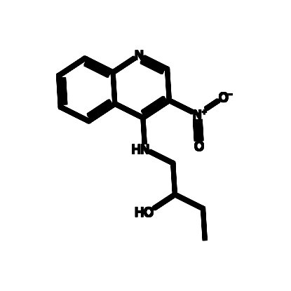 CCC(O)CNc1c([N+](=O)[O-])cnc2ccccc12